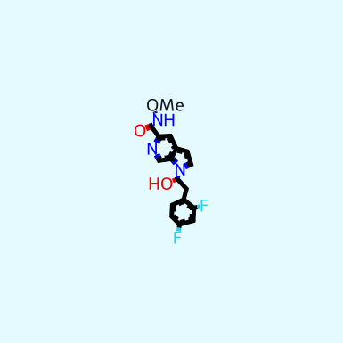 CONC(=O)c1cc2ccn(C(O)Cc3ccc(F)cc3F)c2cn1